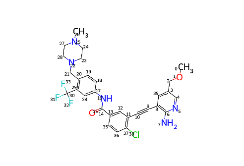 COCc1cnc(N)c(C#Cc2cc(C(=O)Nc3ccc(CN4CCN(C)CC4)c(C(F)(F)F)c3)ccc2Cl)c1